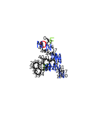 C=C(F)C(=O)N1CC[C@H](n2nnc3c(N4CC(C)(N(C)C)C4)nc4c(F)c(-c5cccc6cccc(C#N)c56)c(C)cc4c32)CC1CC#N